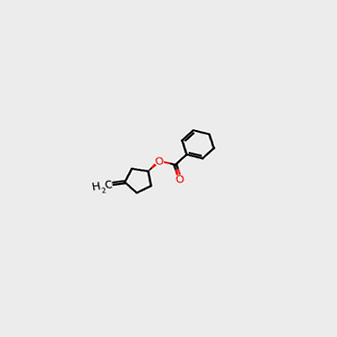 C=C1CC[C@H](OC(=O)C2=CCCC=C2)C1